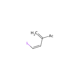 C=C(/C=C\I)C(C)=O